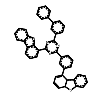 C1=CC2Oc3ccccc3C2C(c2cccc(-c3nc(-c4cccc(-c5ccccc5)c4)nc(-c4cccc5c4sc4ccccc45)n3)c2)=C1